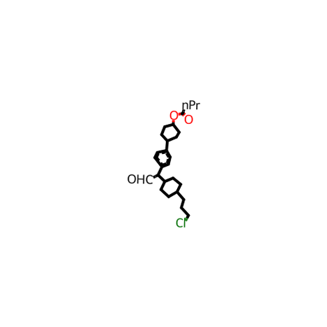 CCCC(=O)OC1CCC(c2ccc(C(C=O)C3CCC(CCCCl)CC3)cc2)CC1